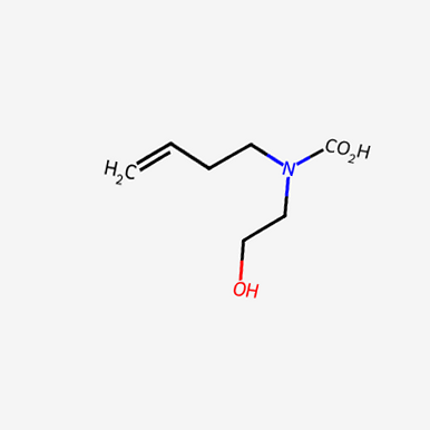 C=CCCN(CCO)C(=O)O